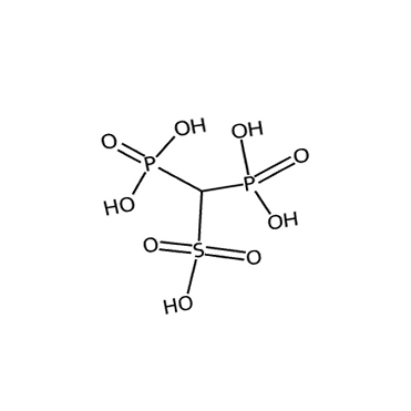 O=P(O)(O)C(P(=O)(O)O)S(=O)(=O)O